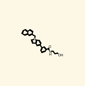 O=C(NCCCO)c1cccc(-c2ccc3c(ccn3Cc3ccc4ccccc4c3)c2)c1